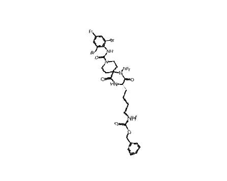 CCCN1C(=O)[C@H](CCCCNC(=O)OCc2ccccc2)NC(=O)C12CCN(C(=O)Nc1c(Br)cc(CC)cc1Br)CC2